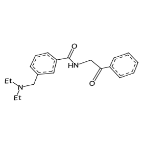 CCN(CC)Cc1cccc(C(=O)NCC(=O)c2ccccc2)c1